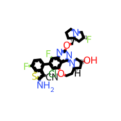 N#Cc1c(N)sc2c(F)ccc(-c3c(Cl)c4c5c(nc(OC[C@@]67CCCN6C[C@H](F)C7)nc5c3F)N3C[C@H](O)C[C@@H]3CCO4)c12